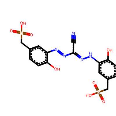 N#CC(/N=N/c1cc(CS(=O)(=O)O)ccc1O)=N\Nc1cc(CS(=O)(=O)O)ccc1O